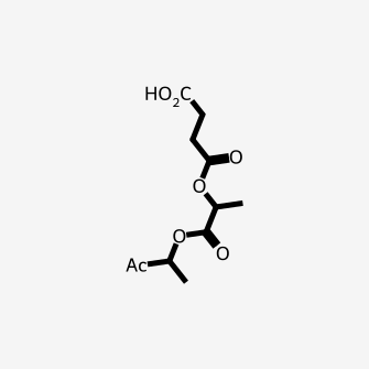 CC(=O)C(C)OC(=O)C(C)OC(=O)CCC(=O)O